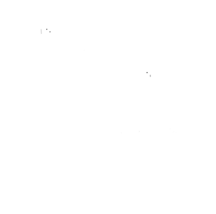 CCC(Cc1ccc(CN)cc1)(C(=O)c1ccccc1)N(C)C